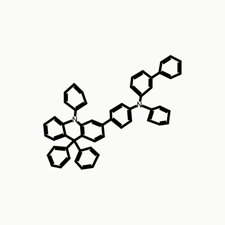 c1ccc(-c2cccc(N(c3ccccc3)c3ccc(-c4ccc5c(c4)N(c4ccccc4)c4ccccc4C5(c4ccccc4)c4ccccc4)cc3)c2)cc1